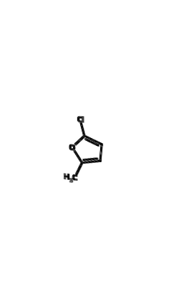 Cc1ccc(Cl)o1